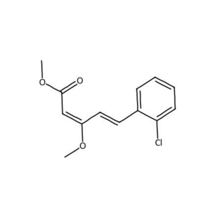 COC(=O)/C=C(\C=C\c1ccccc1Cl)OC